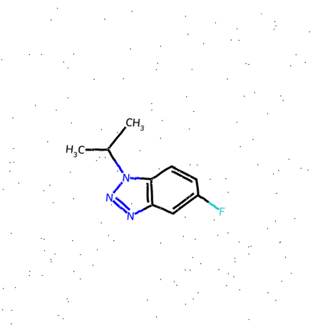 CC(C)n1nnc2cc(F)ccc21